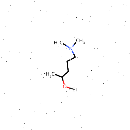 [CH2]C(CCCN(C)C)OCC